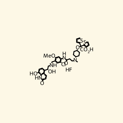 COc1cc(NC(=O)CCN(C)[C@H]2CC[C@H](OC(C(=O)O)(c3cccs3)c3cccs3)CC2)c(Cl)cc1CNC[C@H](O)c1ccc(O)c2[nH]c(=O)ccc12.F